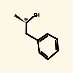 C[C@H](S)Cc1ccccc1